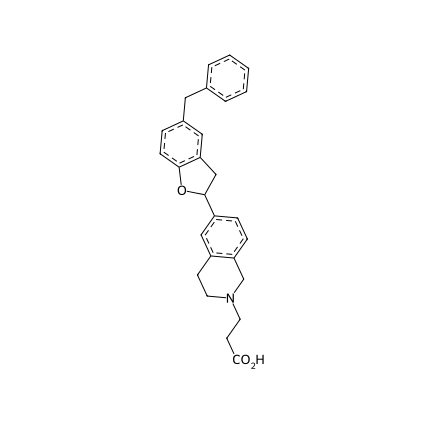 O=C(O)CCN1CCc2cc(C3Cc4cc(Cc5ccccc5)ccc4O3)ccc2C1